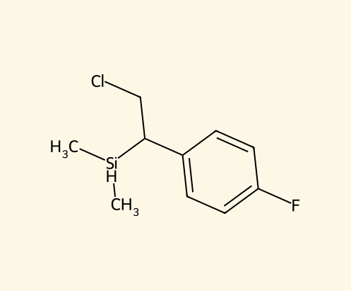 C[SiH](C)C(CCl)c1ccc(F)cc1